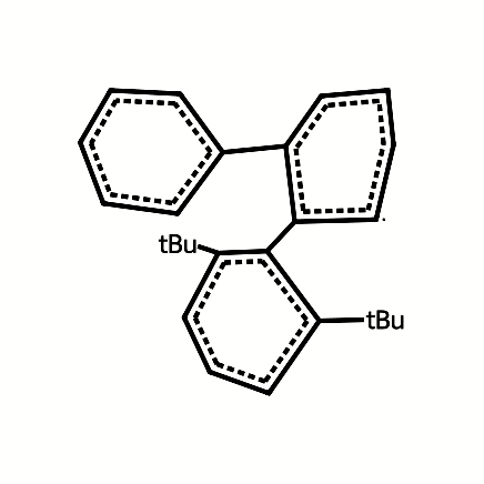 CC(C)(C)c1cccc(C(C)(C)C)c1-c1[c]cccc1-c1ccccc1